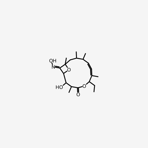 CCC1OC(=O)C(C)C(O)C2OC(C)(CC(C)C(C)C=C=C1C)/C2=N\O